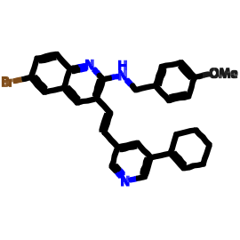 COc1ccc(CNc2nc3ccc(Br)cc3cc2C=Cc2cncc(C3=CCCCC3)c2)cc1